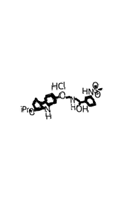 CC(C)Oc1ccc2c(c1)[nH]c1cc(OCCNCC(O)c3cccc(NS(C)(=O)=O)c3)ccc12.Cl